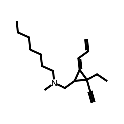 C#CC1(CC)C(=CC=C)C1CN(C)CCCCCCC